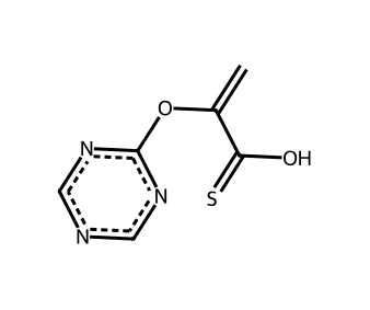 C=C(Oc1ncncn1)C(O)=S